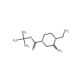 C=C1CN(C(=O)OC(C)(C)C)CCN1CC